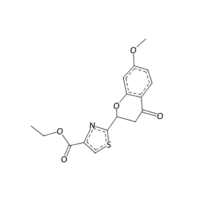 CCOC(=O)c1csc(C2CC(=O)c3ccc(OC)cc3O2)n1